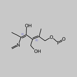 C=N/C(C)=C(O)\C(CO)=C(/C)COP=O